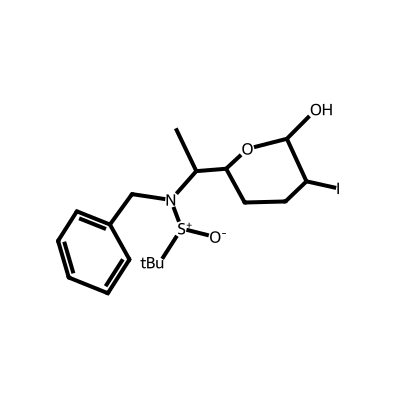 CC(C1CCC(I)C(O)O1)N(Cc1ccccc1)[S+]([O-])C(C)(C)C